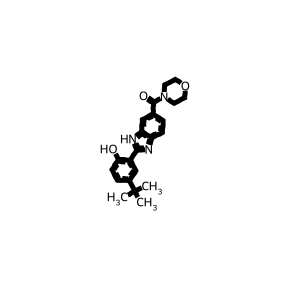 CC(C)(C)c1ccc(O)c(-c2nc3ccc(C(=O)N4CCOCC4)cc3[nH]2)c1